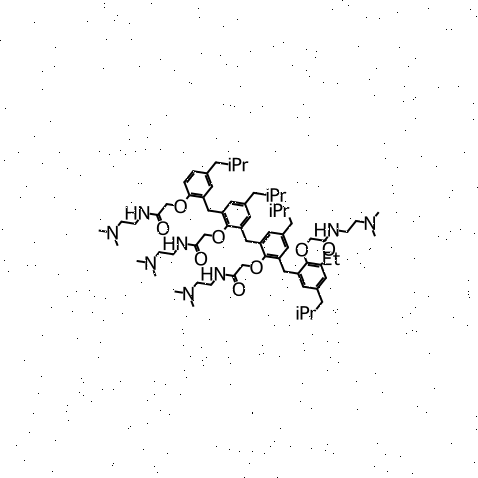 CCc1cc(CC(C)C)cc(Cc2cc(CC(C)C)cc(Cc3cc(CC(C)C)cc(Cc4cc(CC(C)C)ccc4OCC(=O)NCCN(C)C)c3OCC(=O)NCCN(C)C)c2OCC(=O)NCCN(C)C)c1OCC(=O)NCCN(C)C